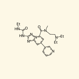 CCNC(=O)Nc1nc2cc(-c3cccnc3)cc(C(=O)N(C)CCN(CC)CC)n2n1